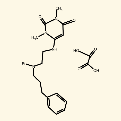 CCN(CCCc1ccccc1)CCNc1cc(=O)n(C)c(=O)n1C.O=C(O)C(=O)O